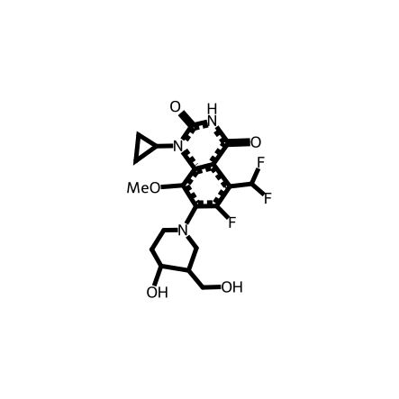 COc1c(N2CCC(O)C(CO)C2)c(F)c(C(F)F)c2c(=O)[nH]c(=O)n(C3CC3)c12